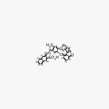 Cc1cc(OCc2c(C(C)C)cnn2-c2c(Cl)cccc2Cl)ccc1CCOc1cc2ccccc2cc1C(=O)O